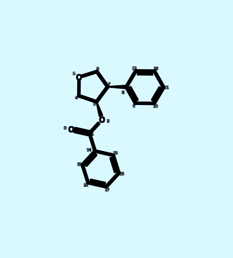 O=C(O[C@H]1COC[C@H]1c1ccccc1)c1ccccc1